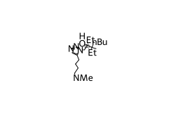 CCCCC(C)(CC)[C@@](O)(CC)Cn1nncc1CCCCNC